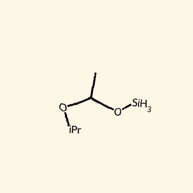 CC(C)OC(C)O[SiH3]